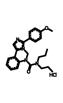 CCCN(CCC)C(=O)N1Cn2c(cnc2-c2ccc(OC)cc2)-c2ccccc21.Cl